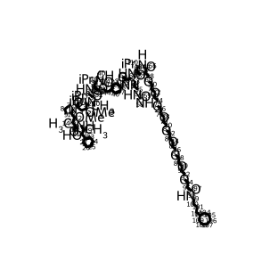 CCC(C)[C@@H]([C@@H](CC(=O)N1CCC[C@H]1[C@H](OC)[C@@H](C)C(=O)N[C@H](C)[C@@H](O)c1ccccc1)OC)N(C)C(=O)[C@@H](NC(=O)[C@H](C(C)C)N(C)C(=O)OCc1ccc(NC(=O)[C@H](CCCNC(N)=O)NC(=O)[C@@H](NC(=O)CCOCCOCCOCCOCCOCCOCCOCCOCCOCCC(=O)NCCCCC2CCCCCC2)C(C)C)cc1)C(C)C